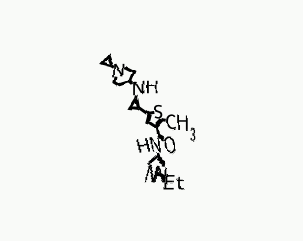 CCn1cc(NC(=O)c2cc(C3CC3NC3CCN(C4CC4)CC3)sc2C)cn1